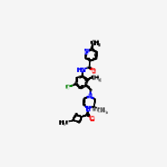 Cc1ccc(C(=O)Nc2cc(Cl)cc(CN3CCN(C(=O)C4CC(C)C4)[C@@H](C)C3)c2C)cn1